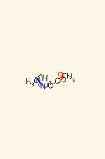 CN(C)[C@@H]1CCN(Cc2ccc(-c3ccc(S(C)(=O)=O)cc3)cc2)C1